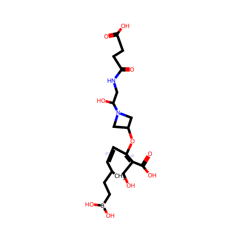 CC(/C=C\C(OC1CN(C(O)CNC(=O)CCC(=O)O)C1)=C(/CO)C(=O)O)CCB(O)O